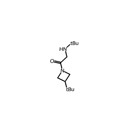 CC(C)(C)NCC(=O)N1CC(C(C)(C)C)C1